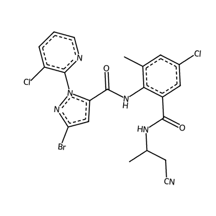 Cc1cc(Cl)cc(C(=O)NC(C)CC#N)c1NC(=O)c1cc(Br)nn1-c1ncccc1Cl